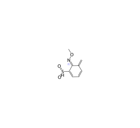 C=C1C=CC=C([SH](=O)=O)/C1=N/OC